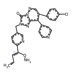 C=C/C=C(\ON)c1ccc(Cn2nc3c(-c4ccncc4)c(-c4ccc(Cl)cc4)cnn3c2=O)cn1